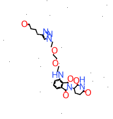 O=CCCCc1cn(CCOCCOCCNc2cccc3c2C(=O)N(C2CCC(=O)NC2=O)C3=O)nn1